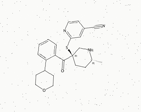 C[C@@H]1CC[C@](Sc2cc(C#N)ccn2)(C(=O)c2ccccc2C2CCOCC2)CN1